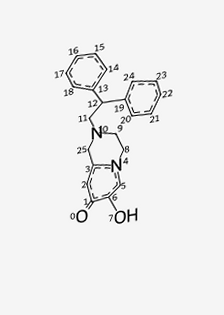 O=c1cc2n(cc1O)CCN(CC(c1ccccc1)c1ccccc1)C2